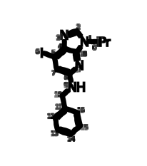 CC(C)n1cnc2c(I)cc(NCc3ccccc3)nc21